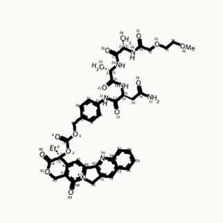 CC[C@@]1(OC(=O)OCc2ccc(NC(=O)[C@H](CC(N)=O)NC(=O)[C@H](C)NC(=O)[C@H](C)NC(=O)COCCOC)cc2)C(=O)OCc2c1cc1n(c2=O)Cc2cc3ccccc3nc2-1